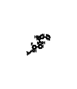 CN(C)CCNc1cc(F)cc(-c2ccnc3[nH]c(-c4n[nH]c5cnc(-c6cnccn6)cc45)nc23)c1